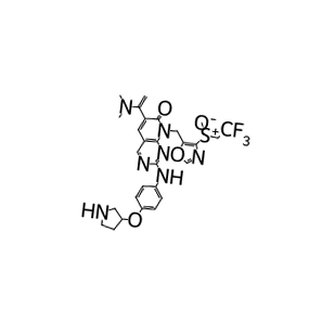 C=C(c1cc2cnc(Nc3ccc(OC4CCNC4)cc3)nc2n(Cc2ocnc2[S+]([O-])CC(F)(F)F)c1=O)N(C)C